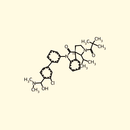 CC(C)C1N(C(=O)C(C)(C)C)CC[C@@]12C(=O)N(c1cccc(-c3ccc(C(O)N(C)C)c(Cl)c3)c1)c1ccccc12